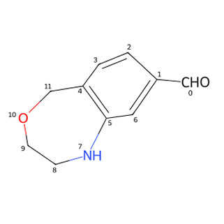 O=Cc1ccc2c(c1)NCCOC2